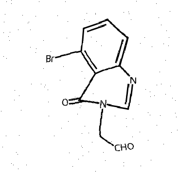 O=CCn1cnc2cccc(Br)c2c1=O